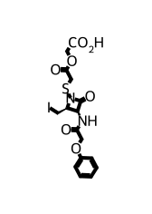 O=C(O)COC(=O)CSN1C(=O)[C@@H](NC(=O)COc2ccccc2)[C@H]1CI